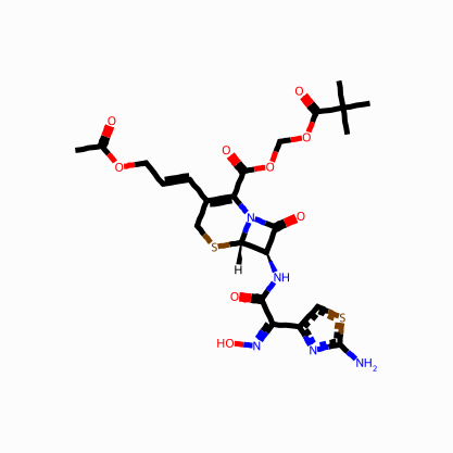 CC(=O)OC/C=C/C1=C(C(=O)OCOC(=O)C(C)(C)C)N2C(=O)[C@@H](NC(=O)/C(=N\O)c3csc(N)n3)[C@@H]2SC1